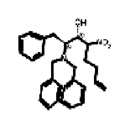 C=CCCC([C@@H](O)[C@H](Cc1ccccc1)N(Cc1ccccc1)Cc1ccccc1)[N+](=O)[O-]